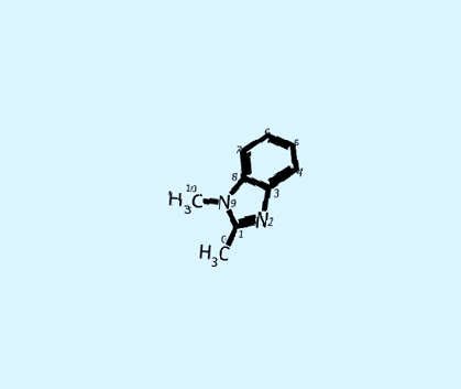 Cc1nc2cc[c]cc2n1C